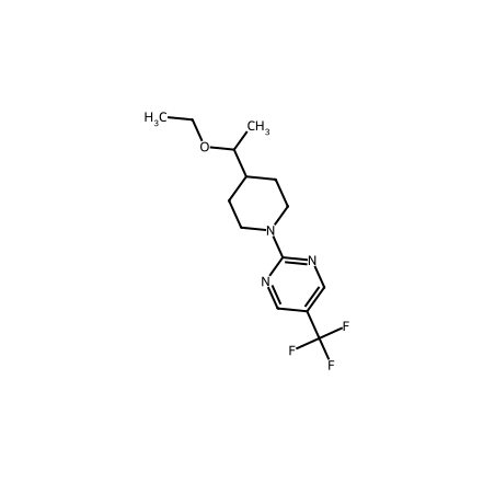 CCOC(C)C1CCN(c2ncc(C(F)(F)F)cn2)CC1